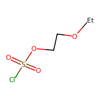 CCOCCOS(=O)(=O)Cl